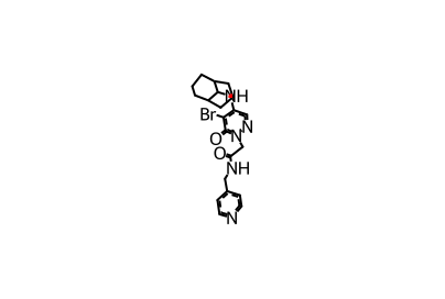 O=C(Cn1ncc(NC2C3CCCC2CCC3)c(Br)c1=O)NCc1ccncc1